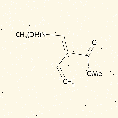 C=C/C(=C\N(C)O)C(=O)OC